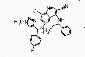 CCC(Nc1c(C#N)cnc2c(Cl)cc(NC(c3ccc(F)cc3)c3cn(C)nn3)cc12)c1ccccc1